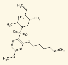 C=CCCCCOc1cc(OC)ccc1S(=O)(=O)N(C[C@@H](C)CC=C)C(C)C